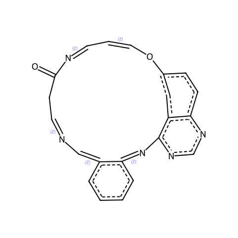 O=C1C\C=N/C=c2/cccc/c2=N/c2ncnc3ccc(cc23)O/C=C\C=N/1